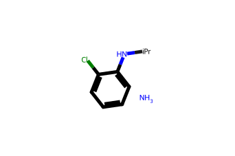 CC(C)Nc1ccccc1Cl.N